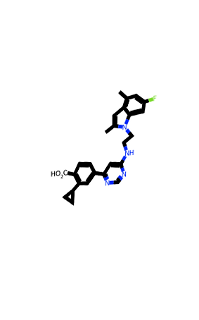 Cc1cc(F)cc2c1cc(C)n2CCNc1cc(-c2ccc(C(=O)O)c(C3CC3)c2)ncn1